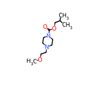 COCCN1CCN(C(=O)OCC(C)C)CC1